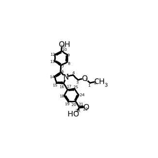 CCOCCn1c(-c2ccc(O)cc2)ccc1-c1ccc(C(=O)O)cc1